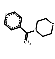 C=C(c1ccncc1)N1CCOCC1